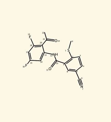 CSc1ccc(C#N)cc1C(=O)Nc1cc(F)cc(F)c1C(C)=O